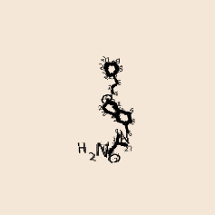 NC(=O)C1CN(Cc2ccc3cc(OCCCc4ccccc4)ccc3c2)C1